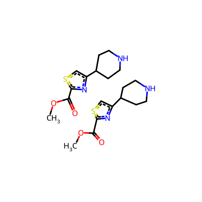 COC(=O)c1nc(C2CCNCC2)cs1.COC(=O)c1nc(C2CCNCC2)cs1